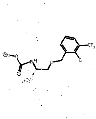 CC(C)(C)OC(=O)N[C@H](COCc1cccc(C(F)(F)F)c1Cl)C(=O)O